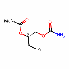 CNC(=O)O[C@H](COC(N)=O)CC(C)C